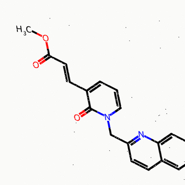 COC(=O)/C=C/c1cccn(Cc2ccc3ccccc3n2)c1=O